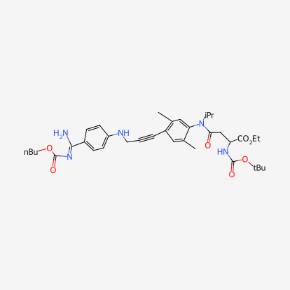 CCCCOC(=O)N=C(N)c1ccc(NCC#Cc2cc(C)c(N(C(=O)CC(NC(=O)OC(C)(C)C)C(=O)OCC)C(C)C)cc2C)cc1